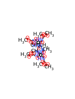 CC(=O)OCC(CNC(=O)c1c(I)c(NC(=O)N(C)CCN(C)C(=O)Nc2c(I)c(C(=O)NCC(COC(C)=O)OC(C)=O)c(I)c(C(=O)NCC(COC(C)=O)OC(C)=O)c2I)c(I)c(C(=O)NCC(COC(C)=O)OC(C)=O)c1I)OC(C)=O